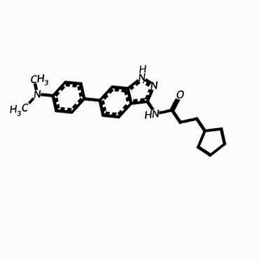 CN(C)c1ccc(-c2ccc3c(NC(=O)CCC4CCCC4)n[nH]c3c2)cc1